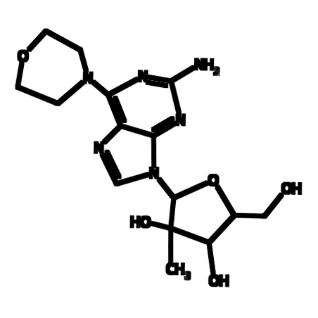 CC1(O)C(O)C(CO)OC1n1cnc2c(N3CCOCC3)nc(N)nc21